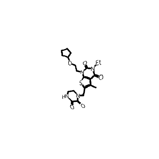 CCn1c(=O)c2c(C)c(CN3CCNC(=O)C3=O)sc2n(CCOC2CCCC2)c1=O